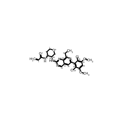 C=CC(=O)NC1CCOC[C@H]1Nc1ncc2cc(-c3c(Cl)c(OC)cc(OC)c3Cl)nc(CC)c2n1